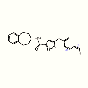 C=C(/C=C\C=C/C)Cc1cc(C(=O)NC2CCc3ccccc3CC2)no1